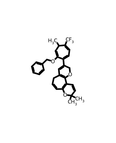 CC1C=C(OCc2ccccc2)C(C2=CC3=C(OC2)C2=C(C=CC3)OC(C)(C)C=C2)=CC=C1C(F)(F)F